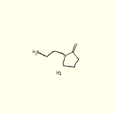 Cl.NCCN1CCCC1=O